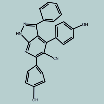 N#Cc1c(-c2ccc(O)cc2)nc2[nH]nc(-c3ccccc3)c2c1-c1ccc(O)cc1